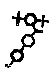 CS(=O)(=O)c1cc[c]([Sn]([CH3])([CH3])[CH3])c(C(=O)N2CCN(c3ccc(C(F)(F)F)cc3)CC2)c1